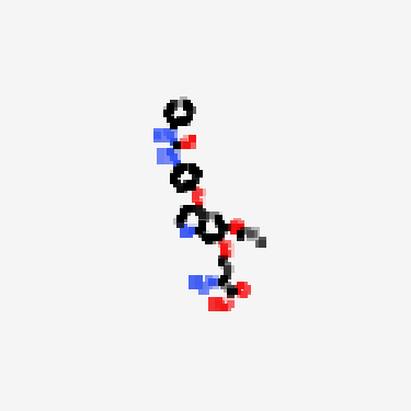 COc1cc2c(Oc3ccc(NC(=O)Nc4ccccc4)cc3)ccnc2cc1OCCC(N)C(=O)O